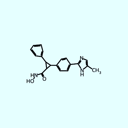 Cc1cnc(-c2ccc(C3C(C(=O)NO)C3c3ccccc3)cc2)[nH]1